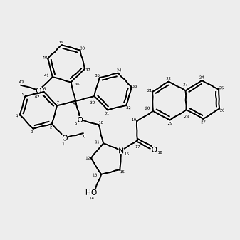 COc1ccccc1C(OCC1CC(O)CN1C(=O)Cc1ccc2ccccc2c1)(c1ccccc1)c1ccccc1OC